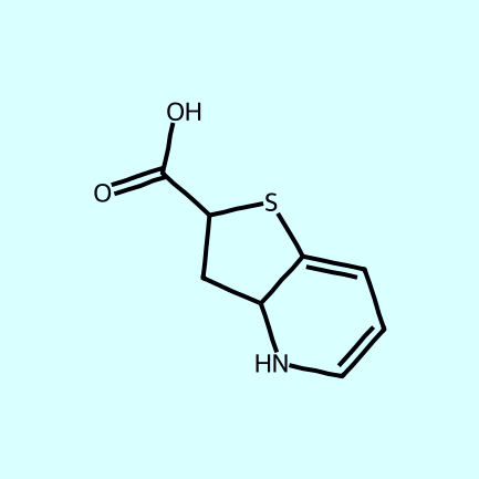 O=C(O)C1CC2NC=CC=C2S1